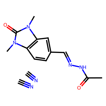 C#N.C#N.CC(=O)NN=Cc1ccc2c(c1)n(C)c(=O)n2C